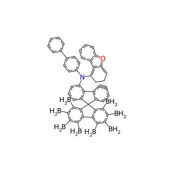 Bc1c(B)c(B)c2c(c1B)-c1c(B)c(B)c(B)c(B)c1C21c2ccc#cc2-c2c(N(C3=c4c(oc5ccccc45)=CCC3)c3ccc(-c4ccccc4)cc3)cccc21